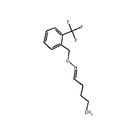 CCCCC=NOCc1ccccc1C(F)(F)F